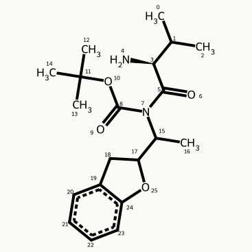 CC(C)[C@H](N)C(=O)N(C(=O)OC(C)(C)C)C(C)C1Cc2ccccc2O1